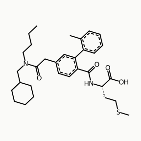 CCCCN(CC1CCCCC1)C(=O)Cc1ccc(C(=O)N[C@@H](CCSC)C(=O)O)c(-c2ccccc2C)c1